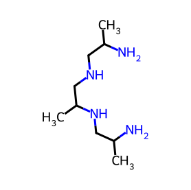 CC(N)CNCC(C)NCC(C)N